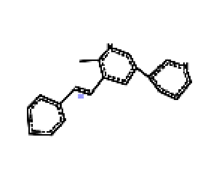 Cc1ncc(-c2cccnc2)cc1/C=C/c1ccccc1